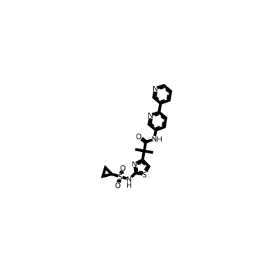 CC(C)(C(=O)Nc1ccc(-c2cccnc2)nc1)c1csc(NS(=O)(=O)C2CC2)n1